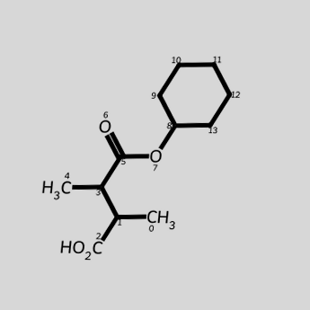 CC(C(=O)O)C(C)C(=O)OC1CCCCC1